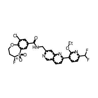 CCOc1nc(C(F)F)ccc1-c1ccc2cnc(CNC(=O)c3cc(Cl)c4c(c3)S(=O)(=O)[C@@H](F)CCO4)cc2n1